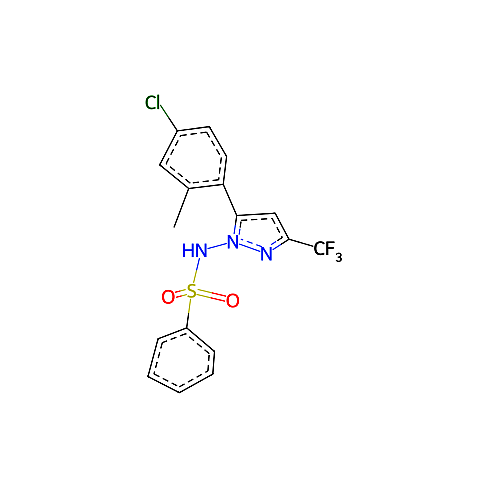 Cc1cc(Cl)ccc1-c1cc(C(F)(F)F)nn1NS(=O)(=O)c1ccccc1